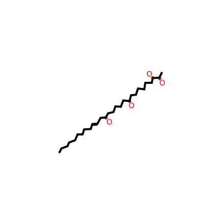 CCCCCCCCCC=CCC(=O)CCCCCC(=O)CCCCCCC(=O)C(C)=O